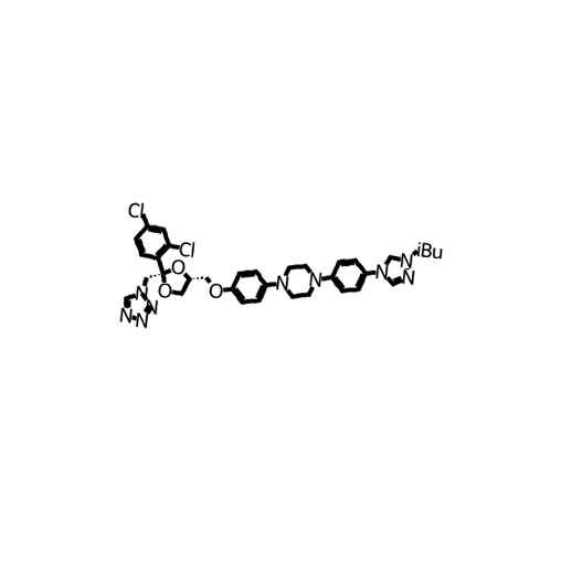 CCC(C)N1CN(c2ccc(N3CCN(c4ccc(OC[C@@H]5CO[C@@](Cn6cnnn6)(c6ccc(Cl)cc6Cl)O5)cc4)CC3)cc2)C=N1